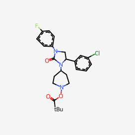 CC(C)(C)C(=O)ON1CCC(N2C(=O)N(c3ccc(F)cc3)CC2c2cccc(Cl)c2)CC1